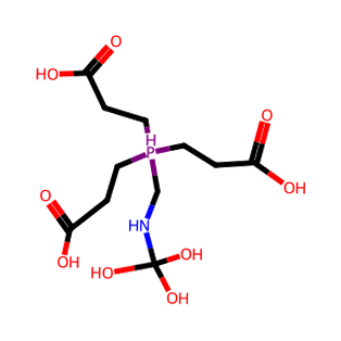 O=C(O)CC[PH](CCC(=O)O)(CCC(=O)O)CNC(O)(O)O